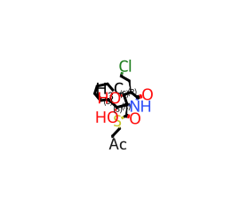 CC(=O)CCSC(=O)[C@]1([C@@H](O)[C@@H]2C=CCCC2)NC(=O)[C@H](CCCl)[C@]1(C)O